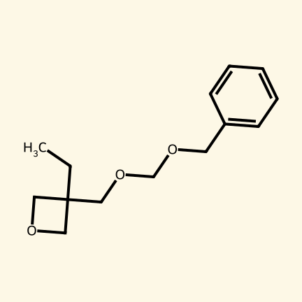 CCC1(COCOCc2ccccc2)COC1